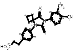 C=C1N(c2ccc(C#N)c(C(F)(F)F)c2)C(=O)C2(CCC2)N1c1ccc(CCC(=O)O)cc1